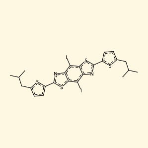 CC(C)Cc1ccc(-c2nc3c(I)c4sc(-c5ccc(CC(C)C)s5)nc4c(I)c3s2)s1